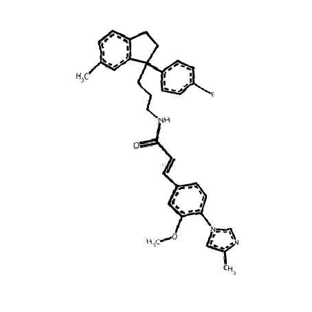 COc1cc(/C=C/C(=O)NCCCC2(c3ccc(F)cc3)CCc3ccc(C)cc32)ccc1-n1cnc(C)c1